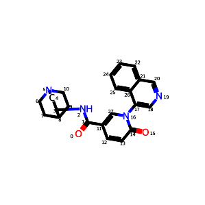 O=C(NC1CN2CCC1CC2)c1ccc(=O)n(-c2cncc3ccccc23)c1